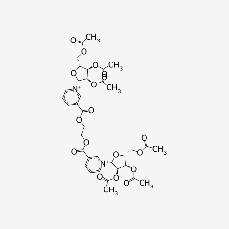 CC(=O)OC[C@H]1O[C@@H]([n+]2cccc(C(=O)OCCOC(=O)c3ccc[n+]([C@@H]4O[C@H](COC(C)=O)[C@@H](OC(C)=O)[C@H]4OC(C)=O)c3)c2)[C@H](OC(C)=O)[C@@H]1OC(C)=O